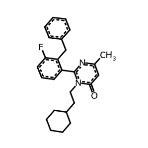 Cc1cc(=O)n(CCC2CCCCC2)c(-c2cccc(F)c2Cc2ccccc2)n1